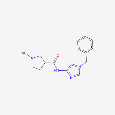 N#CN1CCC(C(=O)Nc2cn(Cc3ccccc3)cn2)C1